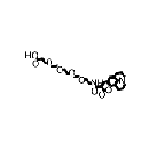 O=C(O)CCOCCOCCOCCOCCNC(=O)c1cc2cc3c4c(c2oc1=O)CCCN4CCC3